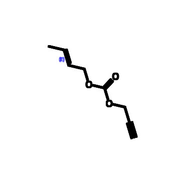 C#CCOC(=O)OC/C=C/C